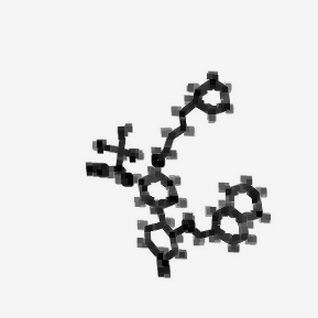 O=C(O)C(F)(F)F.c1ccc(CCCCOc2ccc(C3CCNCC3OCc3ccc4ccccc4c3)cc2)cc1